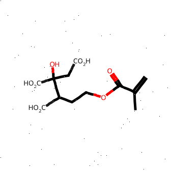 C=C(C)C(=O)OCCC(C(=O)O)C(O)(CC(=O)O)C(=O)O